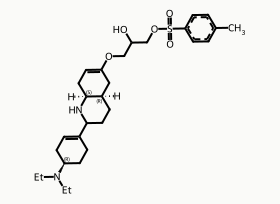 CCN(CC)[C@H]1CC=C(C2CC[C@@H]3CC(OCC(O)COS(=O)(=O)c4ccc(C)cc4)=CC[C@@H]3N2)CC1